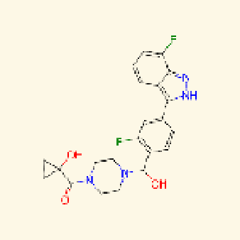 O=C(N1CCN(C(O)c2ccc(-c3[nH]nc4c(F)cccc34)cc2F)CC1)C1(O)CC1